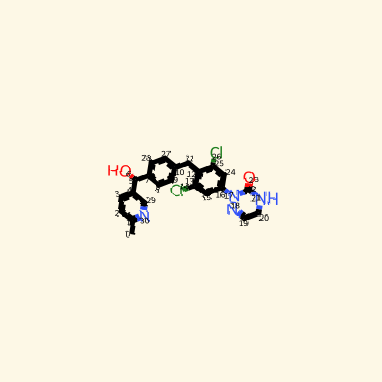 Cc1ccc(C(O)c2ccc(Cc3c(Cl)cc(N4N=CCNC4=O)cc3Cl)cc2)cn1